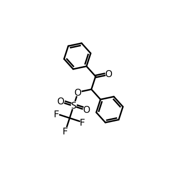 O=C(c1ccccc1)C(OS(=O)(=O)C(F)(F)F)c1ccccc1